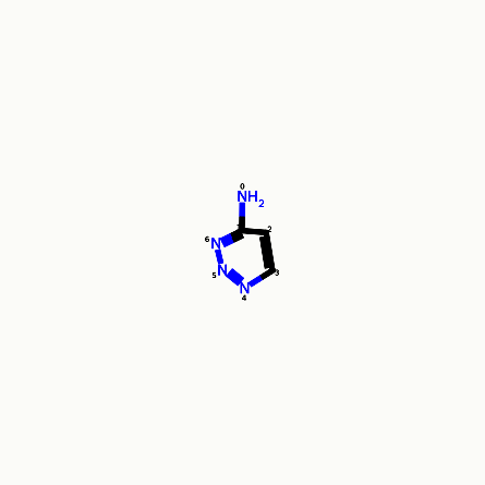 Nc1ccnnn1